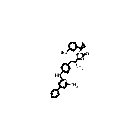 Cc1cc(-c2ccccc2)cc(Nc2ccc(C[C@H](N)[C@H]3CN(C4(c5cccc(C(C)(C)C)c5)CC4)C(=O)O3)cc2)n1